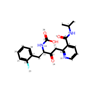 CC(C)NC(=O)c1cccnc1CC(=O)[C@@H](Cc1ccccc1F)NC(=O)O